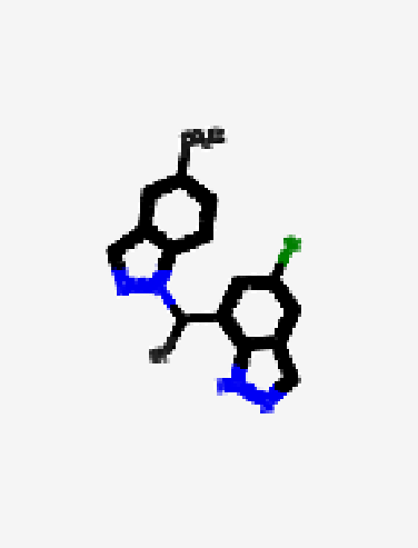 CCOC(=O)c1ccc2c(cnn2C(c2cc(Br)cc3cn[nH]c23)C(C)C)c1